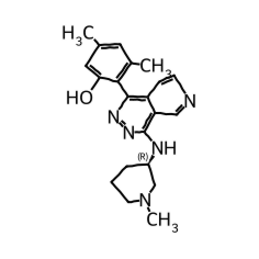 Cc1cc(C)c(-c2nnc(N[C@@H]3CCCN(C)C3)c3cnccc23)c(O)c1